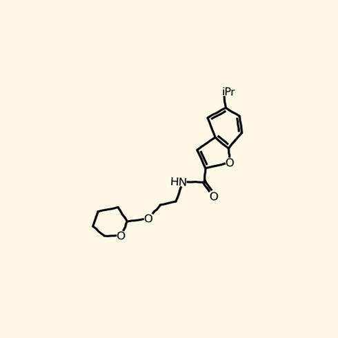 CC(C)c1ccc2oc(C(=O)NCCOC3CCCCO3)cc2c1